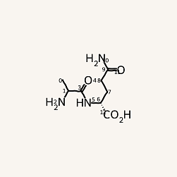 CC(N)C(=O)N[C@H](CCC(N)=O)C(=O)O